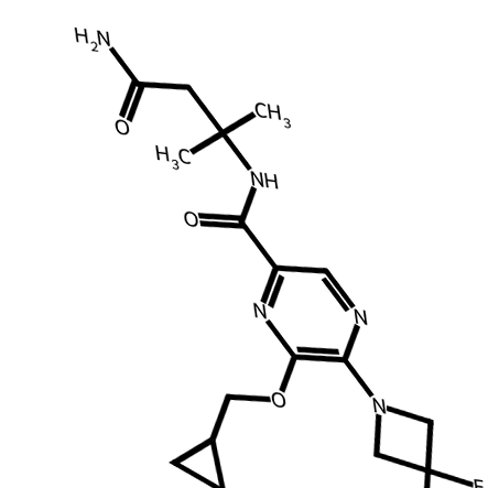 CC(C)(CC(N)=O)NC(=O)c1cnc(N2CC(F)(F)C2)c(OCC2CC2)n1